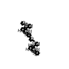 O=C1NCCc2[nH]c(-c3ccncc3OCC3CCC(c4cnc5c(Nc6c(-c7ccncc7OC[C@H]7CCCO7)[nH]c7c6C(=O)NCC7)nsc5c4)O3)c(Nc3nsc4cccnc34)c21